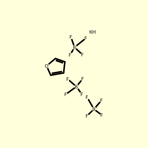 F[B-](F)(F)F.F[B-](F)(F)F.F[B-](F)(F)F.[KH].c1ccoc1